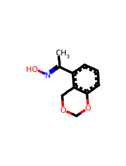 CC(=NO)c1cccc2c1COCO2